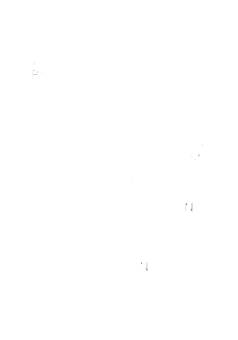 C/C(=C\C(=O)N(C)C#N)c1cccc(Br)c1